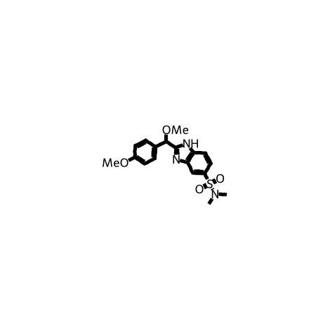 COc1ccc(C(OC)c2nc3cc(S(=O)(=O)N(C)C)ccc3[nH]2)cc1